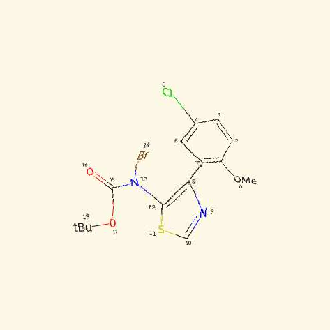 COc1ccc(Cl)cc1-c1ncsc1N(Br)C(=O)OC(C)(C)C